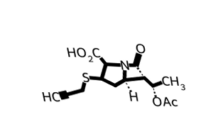 C#CCSC1C[C@@H]2[C@@H]([C@H](C)OC(C)=O)C(=O)N2C1C(=O)O